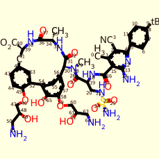 Cc1c(C#N)c(-c2ccc(C(C)(C)C)cc2)nc(N)c1C(=O)NC(CNS(N)(=O)=O)C(=O)N(C)[C@@H]1C(=O)N[C@@H](C)C(=O)N[C@H](C(=O)O)Cc2ccc(OCC(O)CN)c(c2)-c2cc1cc(OCC(O)CN)c2O